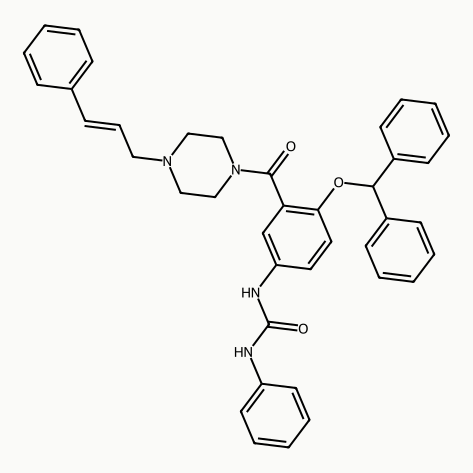 O=C(Nc1ccccc1)Nc1ccc(OC(c2ccccc2)c2ccccc2)c(C(=O)N2CCN(CC=Cc3ccccc3)CC2)c1